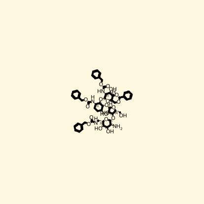 N[C@H]1[C@@H](O[C@H]2[C@@H](O)[C@H](O[C@H]3[C@H](O[C@H]4O[C@@H]5COC(c6ccccc6)O[C@H]5[C@H](O)[C@H]4NC(=O)OCc4ccccc4)[C@@H](NC(=O)OCc4ccccc4)CC[C@@H]3N=O)O[C@@H]2CO)O[C@@H](CNC(=O)OCc2ccccc2)[C@@H](O)[C@@H]1O